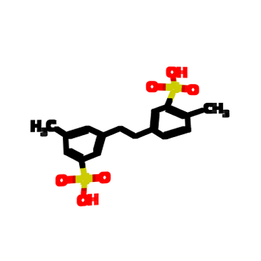 Cc1cc(CCc2ccc(C)c(S(=O)(=O)O)c2)cc(S(=O)(=O)O)c1